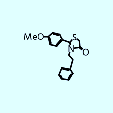 COc1ccc(C2SCC(=O)N2CCc2ccccc2)cc1